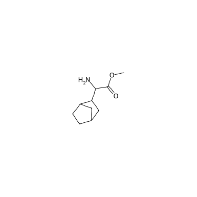 COC(=O)C(N)C1CC2CCC1C2